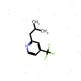 CC(C)Cc1cc(C(F)(F)F)ccn1